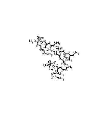 CCCCCCC(C)P(=O)([O-])OCC(CC)CCCC.CCCCCCC(C)P(=O)([O-])OCC(CC)CCCC.CCCCCCC(C)P(=O)([O-])OCC(CC)CCCC.[Cr+3]